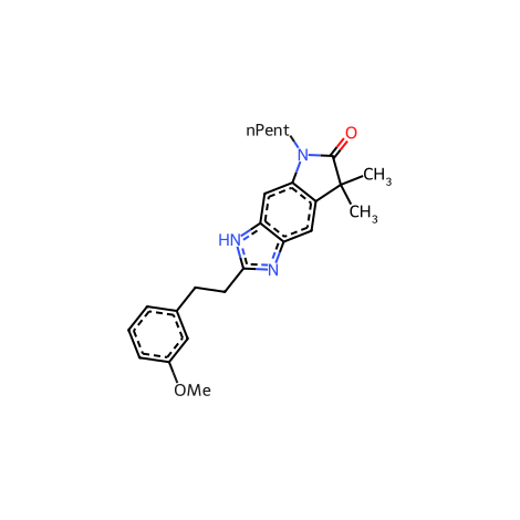 CCCCCN1C(=O)C(C)(C)c2cc3nc(CCc4cccc(OC)c4)[nH]c3cc21